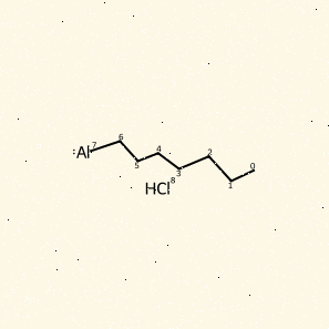 CCCCCC[CH2][Al].Cl